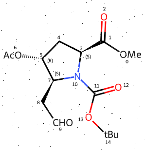 COC(=O)[C@@H]1C[C@@H](OC(C)=O)[C@H](CC=O)N1C(=O)OC(C)(C)C